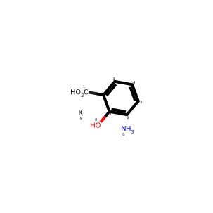 N.O=C(O)c1ccccc1O.[K]